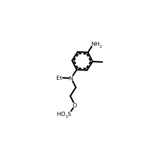 CCN(CCOS(=O)(=O)O)c1ccc(N)c(C)c1